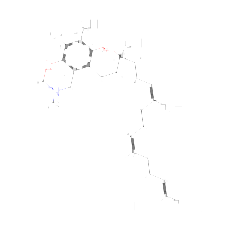 CC(C)=CCCC(C)=CCCC(C)=CCC[C@]1(C)CCc2c3c(c(C)c(C)c2O1)OCN(C)C3